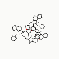 CN1/C(=C/C=C/C2=[N+](Cc3ccc(C[N+]4=C(/C=C/C=C5/N(C)c6ccc7ccccc7c6C5(C)Cc5ccccc5)C(C)(Cc5ccccc5)c5c4ccc4ccccc54)cc3)c3ccc4ccccc4c3C2(C)Cc2ccccc2)C(C)(Cc2ccccc2)c2c1ccc1ccccc21